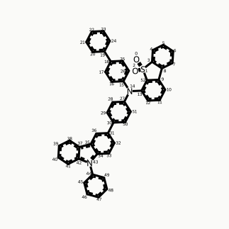 O=S1(=O)c2ccccc2-c2cccc(N(c3ccc(-c4ccccc4)cc3)c3ccc(-c4ccc5c(c4)c4ccccc4n5-c4ccccc4)cc3)c21